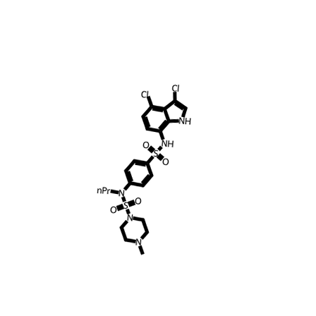 CCCN(c1ccc(S(=O)(=O)Nc2ccc(Cl)c3c(Cl)c[nH]c23)cc1)S(=O)(=O)N1CCN(C)CC1